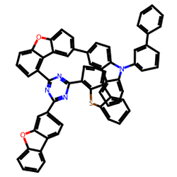 c1ccc(-c2cccc(-n3c4ccccc4c4cc(-c5ccc6oc7cccc(-c8nc(-c9ccc%10c(c9)oc9ccccc9%10)nc(-c9cccc%10c9sc9ccccc9%10)n8)c7c6c5)ccc43)c2)cc1